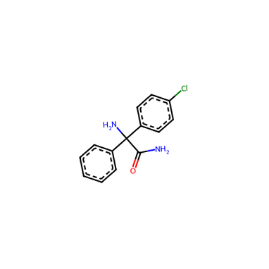 NC(=O)C(N)(c1ccccc1)c1ccc(Cl)cc1